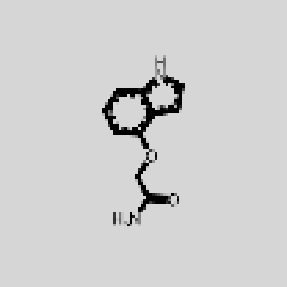 NC(=O)COc1cccc2[nH]ccc12